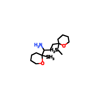 C[SiH2]C1(CCC(N)C2([SiH3])CCCCO2)CCCCO1